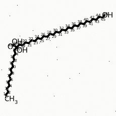 CCCCCCCCCCCCCCCCC(O)(CCCCCCCCCCCCCCCCCCCCCCCCCCCCO)C(=O)O